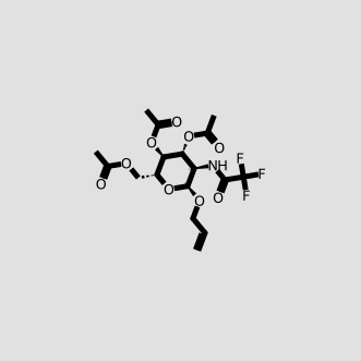 C=CCO[C@H]1O[C@H](COC(C)=O)[C@@H](OC(C)=O)[C@H](OC(C)=O)[C@H]1NC(=O)C(F)(F)F